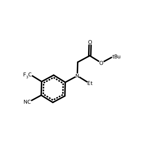 CCN(CC(=O)OC(C)(C)C)c1ccc(C#N)c(C(F)(F)F)c1